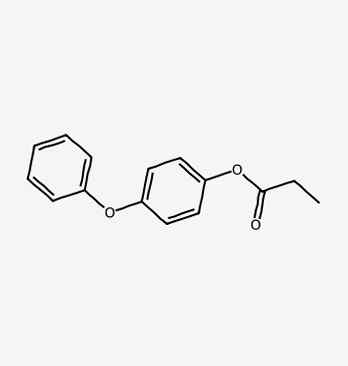 CCC(=O)Oc1ccc(Oc2ccccc2)cc1